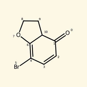 O=C1C=CC(Br)=C2OCCC12